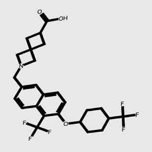 O=C(O)C1CC2(C1)CN(Cc1ccc3c(C(F)(F)F)c(OC4CCC(C(F)(F)F)CC4)ccc3c1)C2